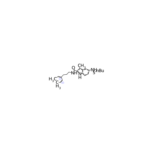 C/C=C\C(=C/C)CCCNC(=O)c1[nH]c2ccc(NSCCCC)cc2c1C